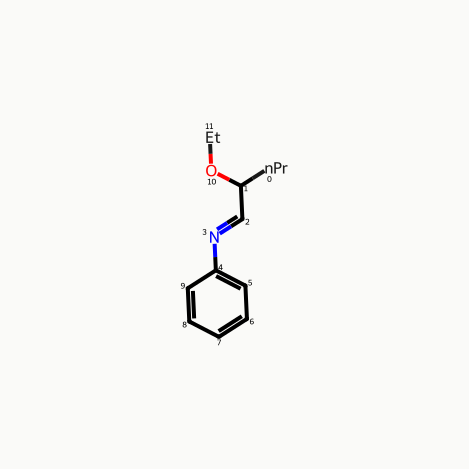 C[CH]CC(C=Nc1ccccc1)OCC